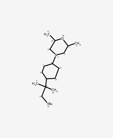 CC1CN(C2CCC(C(C)(C)CC(C)(C)C)CC2)CC(C)O1